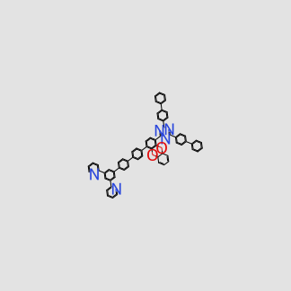 C1=CC2Oc3c(-c4ccc(-c5ccc(-c6cc(-c7ccccn7)cc(-c7ccccn7)c6)cc5)cc4)ccc(-c4nc(-c5ccc(-c6ccccc6)cc5)nc(-c5ccc(-c6ccccc6)cc5)n4)c3OC2C=C1